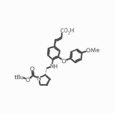 COc1ccc(Oc2cc(C=CC(=O)O)ccc2NC[C@@H]2CCCN2C(=O)OC(C)(C)C)cc1